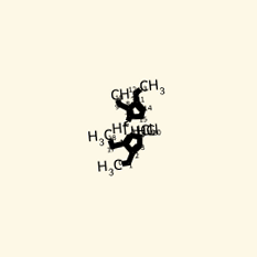 CCC1=CC[C]([Hf][C]2=C(CC)C(CC)=CC2)=C1CC.Cl.Cl